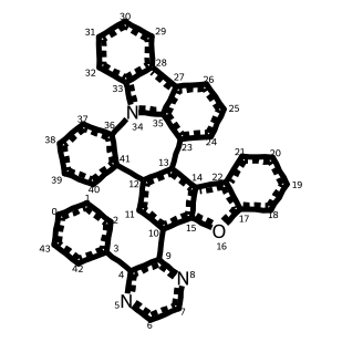 c1ccc(-c2nccnc2-c2cc3c(c4c2oc2ccccc24)-c2cccc4c5ccccc5n(c24)-c2ccccc2-3)cc1